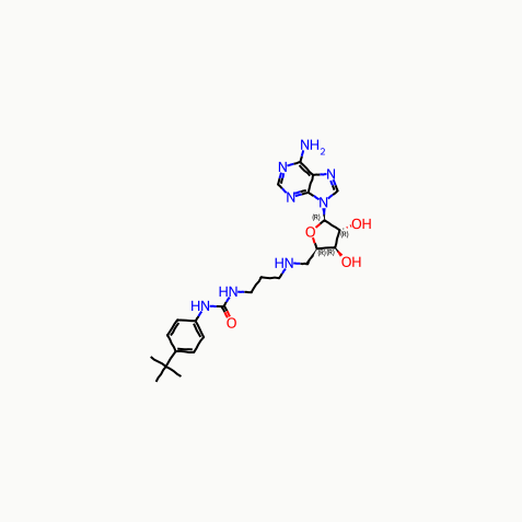 CC(C)(C)c1ccc(NC(=O)NCCCNC[C@H]2O[C@@H](n3cnc4c(N)ncnc43)[C@H](O)[C@H]2O)cc1